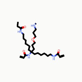 C=CC(=O)NCCCCCCC(CCCCCCNC(=O)CC)(CCCOCCCNC)NC(=O)C=C